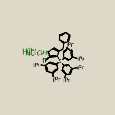 CC(C)c1cc(C(C)C)cc([Si](C2=[C]([Ti])CC=C2Cc2ccccc2)(c2cc(C(C)C)cc(C(C)C)c2)c2cc(C(C)C)cc(C(C)C)c2)c1.Cl.Cl.Cl